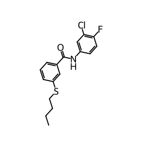 CCCCSc1cccc(C(=O)Nc2ccc(F)c(Cl)c2)c1